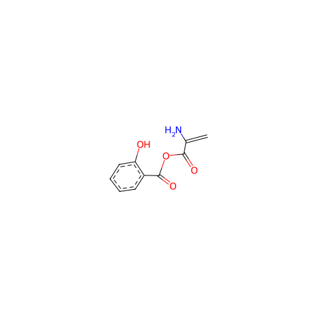 C=C(N)C(=O)OC(=O)c1ccccc1O